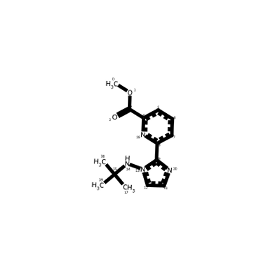 COC(=O)c1cccc(-c2nccn2NC(C)(C)C)n1